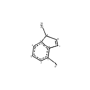 Cc1cccc2c1C=C[CH]2[Ti]